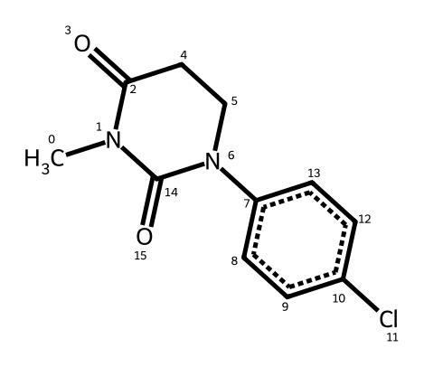 CN1C(=O)CCN(c2ccc(Cl)cc2)C1=O